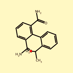 CC(C)c1ccccc1-c1c(C(N)=O)cccc1C(N)=O